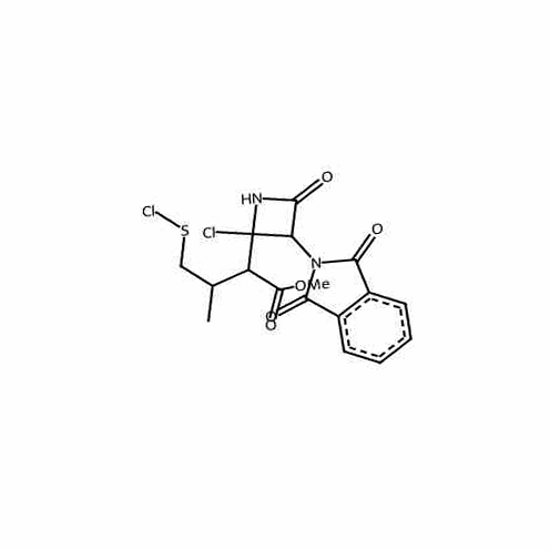 COC(=O)C(C(C)CSCl)C1(Cl)NC(=O)C1N1C(=O)c2ccccc2C1=O